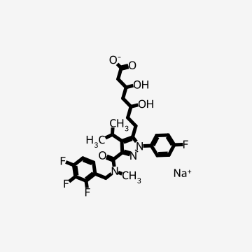 CC(C)c1c(C(=O)N(C)Cc2ccc(F)c(F)c2F)nn(-c2ccc(F)cc2)c1CCC(O)CC(O)CC(=O)[O-].[Na+]